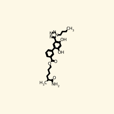 CCCCn1nnnc1-c1cc(-c2cccc(C(=O)OCCCCC(C)C(N)=O)c2)c(O)cc1O